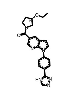 CCO[C@@H]1CCN(C(=O)c2cnc3c(ccn3-c3ccc(-c4nnc[nH]4)cc3)c2)C1